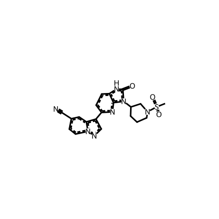 CS(=O)(=O)N1CCCC(n2c(=O)[nH]c3ccc(-c4cnn5ccc(C#N)cc45)nc32)C1